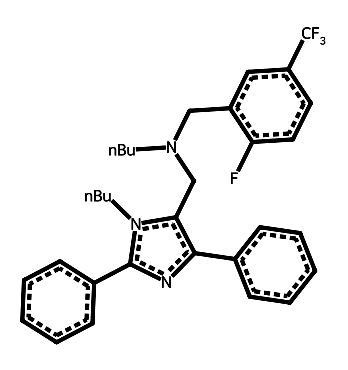 CCCCN(Cc1cc(C(F)(F)F)ccc1F)Cc1c(-c2ccccc2)nc(-c2ccccc2)n1CCCC